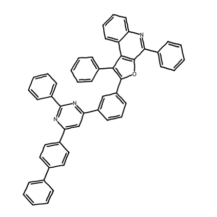 c1ccc(-c2ccc(-c3cc(-c4cccc(-c5oc6c(-c7ccccc7)nc7ccccc7c6c5-c5ccccc5)c4)nc(-c4ccccc4)n3)cc2)cc1